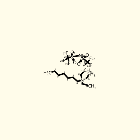 CCCCCCC[N+](CC)(CC)CC.O=S(=O)([N-]S(=O)(=O)C(F)(F)F)C(F)(F)F